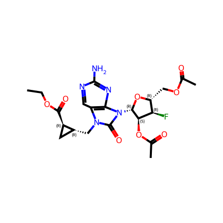 CCOC(=O)[C@@H]1C[C@H]1Cn1c(=O)n([C@@H]2O[C@H](COC(C)=O)[C@@H](F)[C@H]2OC(C)=O)c2nc(N)ncc21